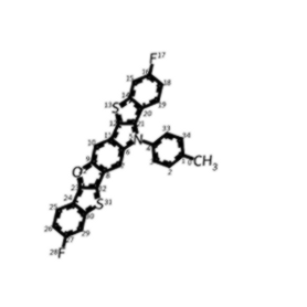 Cc1ccc(-n2c3cc4c(cc3c3sc5cc(F)ccc5c32)oc2c3ccc(F)cc3sc42)cc1